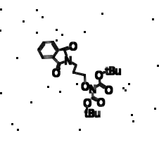 CC(C)(C)OC(=O)N(OCCCN1C(=O)c2ccccc2C1=O)C(=O)OC(C)(C)C